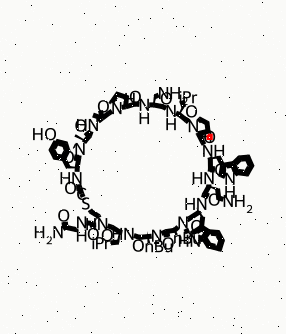 CCCC[C@H]1C(=O)N(C)[C@@H](CCCC)C(=O)N[C@@H](CC(C)C)C(=O)N[C@H](C(=O)NCC(N)=O)CSCC(=O)N[C@@H](Cc2ccc(O)cc2)C(=O)N(C)[C@@H](C)C(=O)NC(C)(C)C(=O)N2CCC[C@H]2C(=O)N[C@@H](CN)C(=O)N[C@@H](CC(C)C)C(=O)N2CCC[C@H]2C(=O)N[C@@H](Cc2c[nH]c3ccccc23)C(=O)N[C@@H](CCN)C(=O)N[C@@H](Cc2c[nH]c3ccccc23)C(=O)N1C